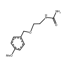 COc1ccc(COCCNC(N)=O)cc1